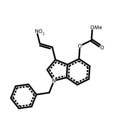 COC(=O)Oc1cccc2c1c(C=C[N+](=O)[O-])cn2Cc1ccccc1